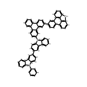 c1ccc(-n2c3ccccc3c3cc(-c4ccc5c(c4)c4ccccc4n5-c4ccc5c6ccccc6c6ccc(-c7ccc8c(c7)c7cccc9oc%10cccc8c%10c97)cc6c5c4)ccc32)cc1